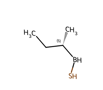 CC[C@H](C)BS